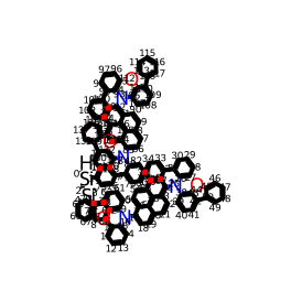 C[SiH](C[Si](C)(C)c1ccc(-c2ccccc2N(c2ccc3ccc4c(N(c5ccccc5-c5ccccc5)c5cccc6c5oc5ccccc56)ccc5ccc2c3c54)c2cccc3c2oc2ccccc23)cc1)c1ccc(-c2ccccc2N(c2ccc3ccc4c(N(c5ccccc5-c5ccccc5)c5cccc6c5oc5ccccc56)ccc5ccc2c3c54)c2cccc3c2oc2ccccc23)cc1